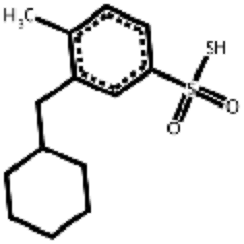 Cc1ccc(S(=O)(=O)S)cc1CC1CCCCC1